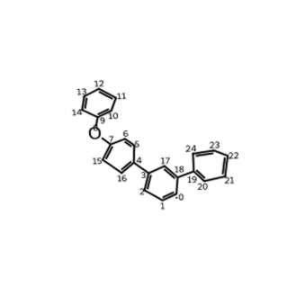 [c]1ccc(-c2ccc(Oc3ccccc3)cc2)cc1-c1ccccc1